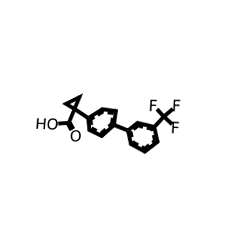 O=C(O)C1(c2ccc(-c3cccc(C(F)(F)F)c3)cc2)CC1